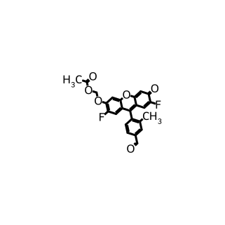 CC(=O)OCOc1cc2oc3cc(=O)c(F)cc-3c(-c3ccc(C=O)cc3C)c2cc1F